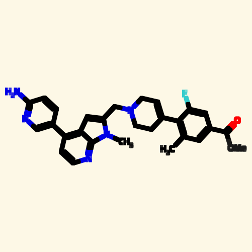 COC(=O)c1cc(C)c(C2=CCN(Cc3cc4c(-c5ccc(N)nc5)ccnc4n3C)CC2)c(F)c1